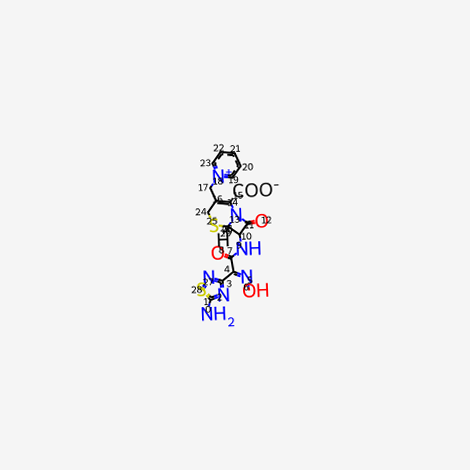 Nc1nc(C(=NO)C(=O)NC2C(=O)N3C(C(=O)[O-])=C(C[n+]4ccccc4)CS[C@@H]23)ns1